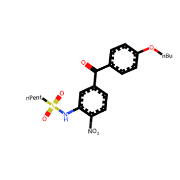 CCCCCS(=O)(=O)Nc1cc(C(=O)c2ccc(OCCCC)cc2)ccc1[N+](=O)[O-]